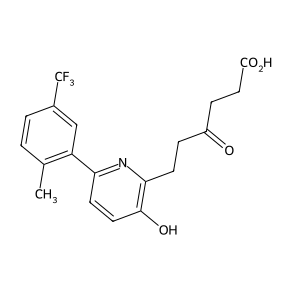 Cc1ccc(C(F)(F)F)cc1-c1ccc(O)c(CCC(=O)CCC(=O)O)n1